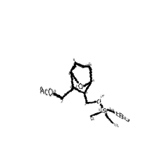 CC(=O)OCC1C2CCC(O2)C1CO[Si](C)(C)C(C)(C)C